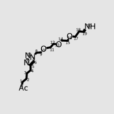 CC(=O)CCCCc1cn(CCOCCOCCOCCC=N)nn1